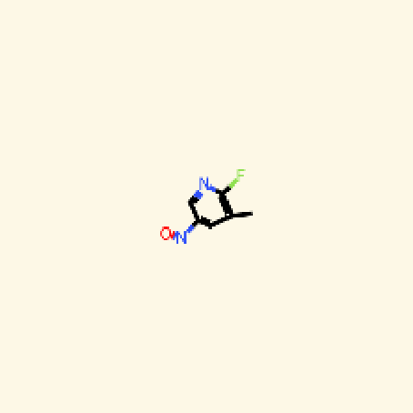 Cc1cc(N=O)cnc1F